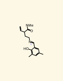 C=CC(CC/N=C/c1cc(C)cc(C)c1O)C(=O)NC